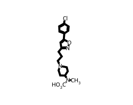 CN(C(=O)O)C1CCN(CCCc2cc(-c3ccc(Cl)cc3)on2)CC1